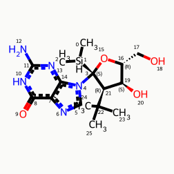 C[SiH](C)[C@@]1(n2cnc3c(=O)[nH]c(N)nc32)O[C@H](CO)[C@@H](O)[C@H]1C(C)(C)C